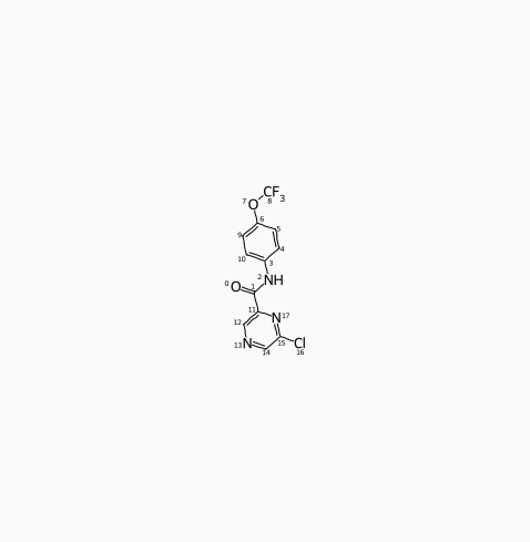 O=C(Nc1ccc(OC(F)(F)F)cc1)c1cncc(Cl)n1